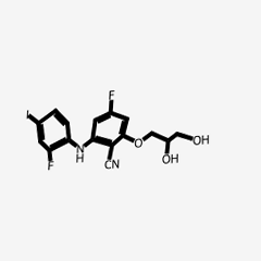 N#Cc1c(Nc2ccc(I)cc2F)cc(F)cc1OCC(O)CO